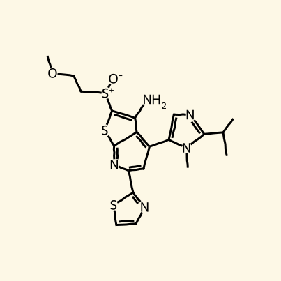 COCC[S+]([O-])c1sc2nc(-c3nccs3)cc(-c3cnc(C(C)C)n3C)c2c1N